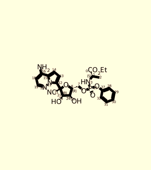 CCOC(=O)[C@H](C)NP(=O)(OC[C@H]1O[C@@](C#N)(c2ccc3c(N)ccnn23)[C@H](O)[C@@H]1O)Oc1ccccc1